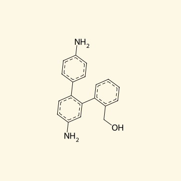 Nc1ccc(-c2ccc(N)cc2-c2ccccc2CO)cc1